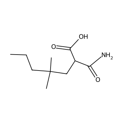 CCCC(C)(C)CC(C(N)=O)C(=O)O